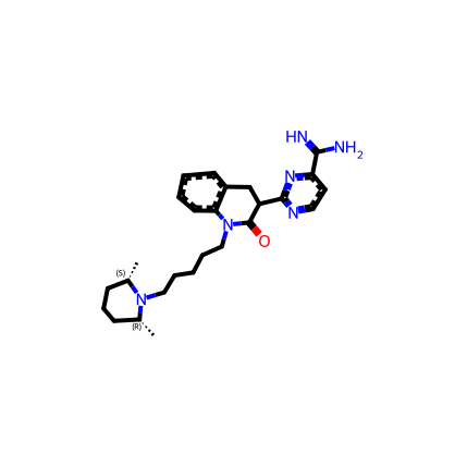 C[C@@H]1CCC[C@H](C)N1CCCCCN1C(=O)C(c2nccc(C(=N)N)n2)Cc2ccccc21